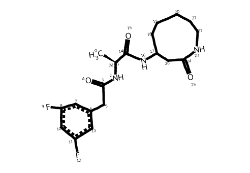 C[C@H](NC(=O)Cc1cc(F)cc(F)c1)C(=O)NC1CCCCCNC(=O)C1